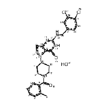 Cc1cccnc1C(=O)N1CCC(n2ncc3nc(NCc4ccc(Cl)c(Cl)c4)[nH]c(=O)c32)CC1.Cl